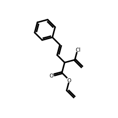 C=COC(=O)C(C=Cc1ccccc1)C(=C)Cl